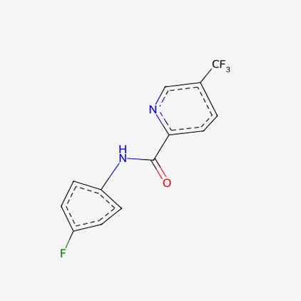 O=C(Nc1ccc(F)cc1)c1ccc(C(F)(F)F)cn1